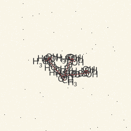 CCCC(=O)C(CCCCNC(=O)COCCOCCOCCO[C@@H]1C[C@H](CO)[C@H](O)[C@H](O)[C@H]1NC(C)=O)NC(=O)C(CCCCNC(=O)COCCOCCOCCO[C@@H]1O[C@H](CO)[C@H](O)[C@H](O)[C@H]1N)NC(=O)COCCOCCOCCO[C@@H]1C[C@H](CO)[C@H](O)[C@H](O)[C@H]1NC(C)=O